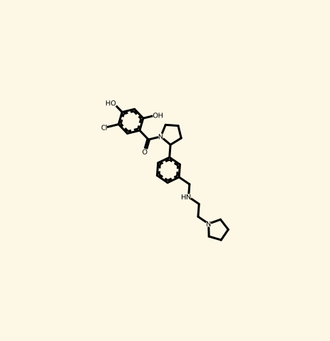 O=C(c1cc(Cl)c(O)cc1O)N1CCCC1c1cccc(CNCCN2CCCC2)c1